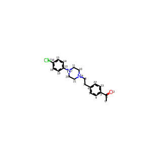 CC(=O)c1ccc(CCN2CCN(c3ccc(Cl)cc3)CC2)cc1